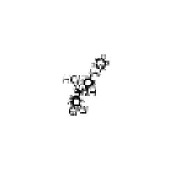 Cl.O=C(Nc1ccc(CCN2CCCCC2)cc1)c1ccc(Cl)c(Cl)c1